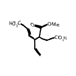 C=CC(/C=C/C(=O)O)C(CC(=O)O)C(=O)OC